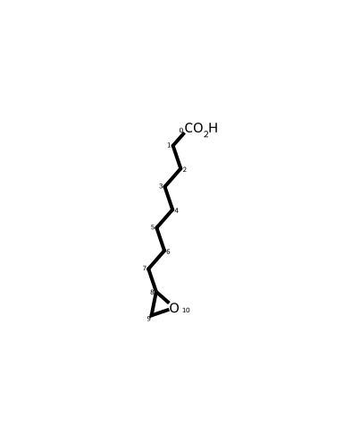 O=C(O)CCCCCCCC1CO1